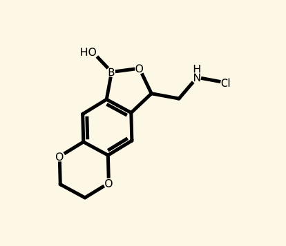 OB1OC(CNCl)c2cc3c(cc21)OCCO3